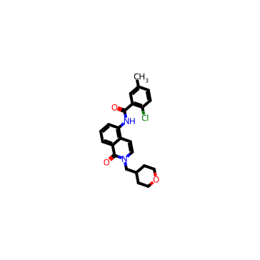 Cc1ccc(Cl)c(C(=O)Nc2cccc3c(=O)n(CC4CCOCC4)ccc23)c1